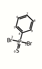 S=P(Br)(Br)c1ccccc1